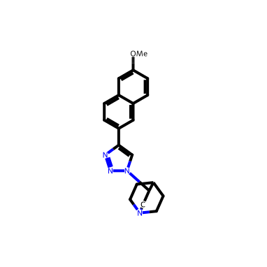 COc1ccc2cc(-c3cn(C4CN5CCC4CC5)nn3)ccc2c1